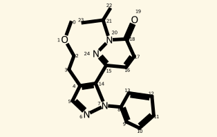 COCCc1cnn(-c2ccccc2)c1-c1ccc(=O)n(C(C)C)n1